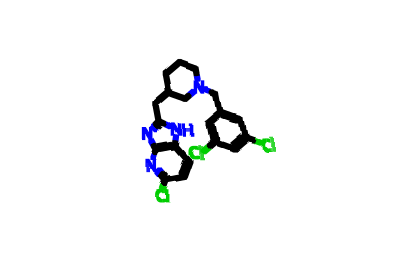 Clc1cc(Cl)cc(CN2CCCC(Cc3nc4nc(Cl)ccc4[nH]3)C2)c1